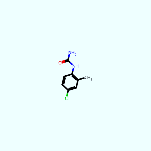 Cc1cc(Cl)ccc1NC(N)=O